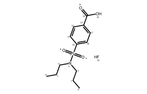 CCCN(CCC)S(=O)(=O)c1ccc(C(=O)O)cc1.F